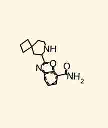 NC(=O)c1cccc2nc(C3CC4(CCC4)CCN3)oc12